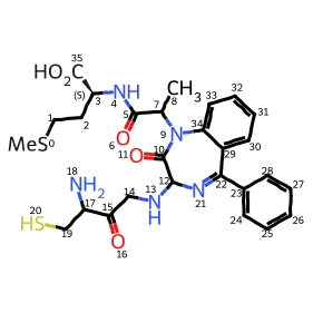 CSCC[C@H](NC(=O)C(C)N1C(=O)C(NCC(=O)C(N)CS)N=C(c2ccccc2)c2ccccc21)C(=O)O